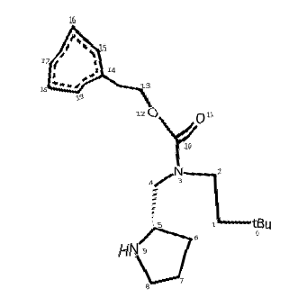 CC(C)(C)CCN(C[C@@H]1CCCN1)C(=O)OCc1ccccc1